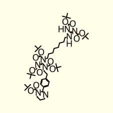 CC(C)(C)OC(=O)/N=C(/N(CCCCCCCCN/C(=N\C(=O)OC(C)(C)C)NC(=O)OC(C)(C)C)C(=O)OC(C)(C)C)N(CCc1ccc(C2=NCCCN2C(=O)OC(C)(C)C)cc1)C(=O)OC(C)(C)C